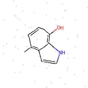 Cc1ccc(O)c2[nH]ccc12